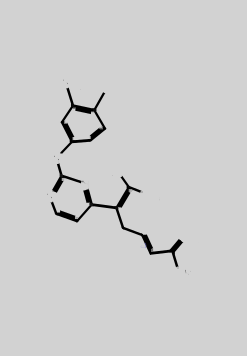 C=C(/C=C/CC(=C(C)C)c1ccnc(Nc2ccc(F)c([N+](=O)[O-])c2)n1)OC